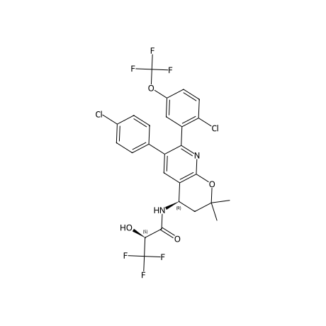 CC1(C)C[C@@H](NC(=O)[C@H](O)C(F)(F)F)c2cc(-c3ccc(Cl)cc3)c(-c3cc(OC(F)(F)F)ccc3Cl)nc2O1